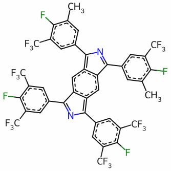 Cc1cc(C2=NC(c3cc(C)c(F)c(C(F)(F)F)c3)=c3cc4c(cc32)=C(c2cc(C(F)(F)F)c(F)c(C(F)(F)F)c2)N=C4c2cc(C(F)(F)F)c(F)c(C(F)(F)F)c2)cc(C(F)(F)F)c1F